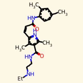 CCNCCNC(=O)c1c(C)[nH]c(/C=C\C(=O)Nc2ccc(C)cc2C)c1C